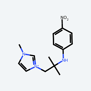 Cn1cc[n+](CC(C)(C)Nc2ccc([N+](=O)[O-])cc2)c1